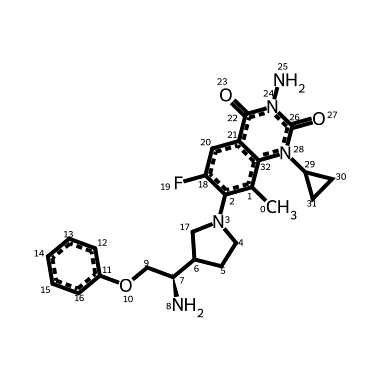 Cc1c(N2CCC([C@@H](N)COc3ccccc3)C2)c(F)cc2c(=O)n(N)c(=O)n(C3CC3)c12